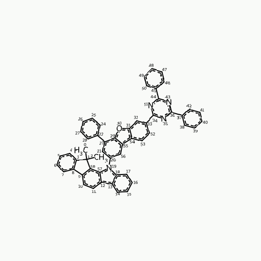 CC1(C)c2ccccc2-c2ccc3c4ccccc4n(-c4cc(-c5ccccc5)c5oc6cc(-c7nc(-c8ccccc8)nc(-c8ccccc8)n7)ccc6c5c4)c3c21